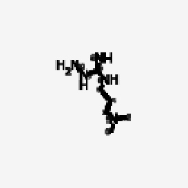 CN(C)CCCNC(=N)NN